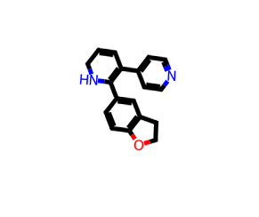 C1=CC(c2ccncc2)=C(c2ccc3c(c2)CCO3)NC1